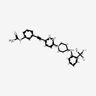 CC(=O)Oc1cccc(C#Cc2ccc(N3CCC(Oc4ccccc4C(F)(F)F)CC3)nn2)c1